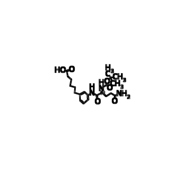 CC(C)(C)OC(=O)N[C@@H](CCC(N)=O)C(=O)Nc1cccc(CCCCCC(=O)O)c1